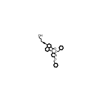 O=C1c2ccc(C#CCCCO)c3cccc(c23)N1c1ccc(OCc2ccccc2)nc1OCc1ccccc1